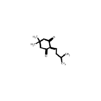 CC(C)CC=C1C(=O)CC(C)(C)CC1=O